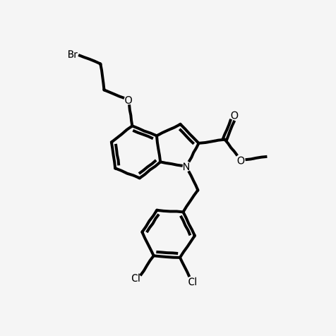 COC(=O)c1cc2c(OCCBr)cccc2n1Cc1ccc(Cl)c(Cl)c1